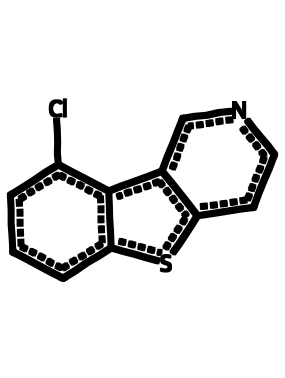 Clc1cccc2sc3ccncc3c12